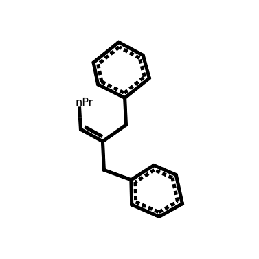 [CH2]CCC=C(Cc1ccccc1)Cc1ccccc1